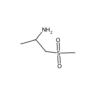 C[C](N)CS(C)(=O)=O